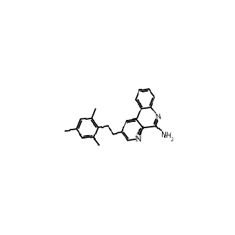 Cc1cc(C)c(CCc2cnc3c(N)nc4ccccc4c3c2)c(C)c1